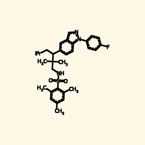 Cc1cc(C)c(S(=O)(=O)NCC(C)(C)C(CC(C)C)c2ccc3c(cnn3-c3ccc(F)cc3)c2)c(C)c1